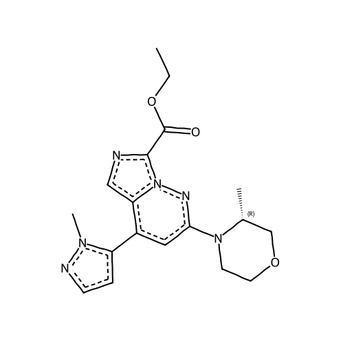 CCOC(=O)c1ncc2c(-c3ccnn3C)cc(N3CCOC[C@H]3C)nn12